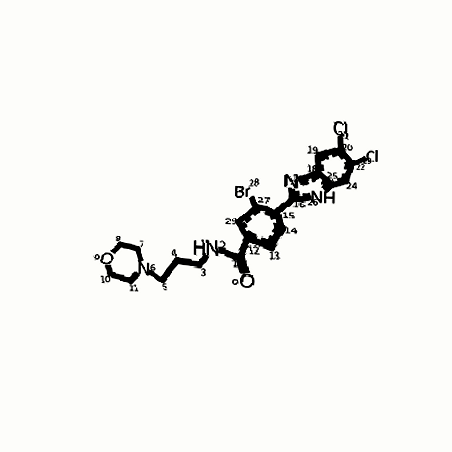 O=C(NCCCN1CCOCC1)c1ccc(-c2nc3cc(Cl)c(Cl)cc3[nH]2)c(Br)c1